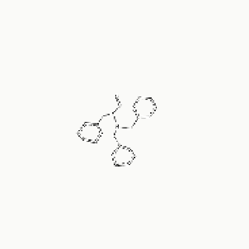 O=CC(Cc1ccccc1)N(Cc1ccccc1)Cc1ccccc1